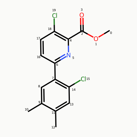 COC(=O)c1nc(-c2cc(C)c(C)cc2Cl)ccc1Cl